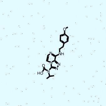 COc1ccc(CCNc2nccn3c(N(C(=O)O)C(C)C)nnc23)cc1